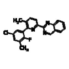 Cc1ccc(-c2ncc3ccccc3n2)nc1-c1cc(Cl)cc(C)c1F